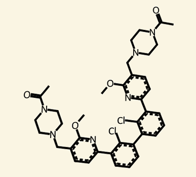 COc1nc(-c2cccc(-c3cccc(-c4ccc(CN5CCN(C(C)=O)CC5)c(OC)n4)c3Cl)c2Cl)ccc1CN1CCN(C(C)=O)CC1